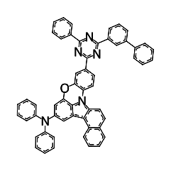 c1ccc(-c2cccc(-c3nc(-c4ccccc4)nc(-c4ccc5c(c4)Oc4cc(N(c6ccccc6)c6ccccc6)cc6c7c8ccccc8ccc7n-5c46)n3)c2)cc1